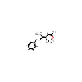 CCC(=O)C/C(C(=O)O)=C(/CCc1ccccc1)C(=O)O